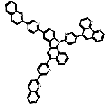 c1ccc2nc(-c3ccc(-c4ccc5c(c4)c4cc(-c6ccc(-c7ccc8ccccc8n7)cn6)c6ccccc6c4n5-c4ccc(-c5cc6cccnc6c6ncccc56)cn4)nc3)ccc2c1